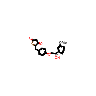 COc1cccc([C@@H](O)COc2ccc(CC3SC(=O)CC3=O)cc2)c1